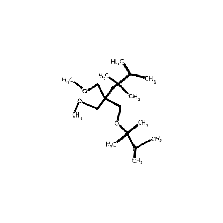 COCC(COC)(COC(C)(C)C(C)C)C(C)(C)C(C)C